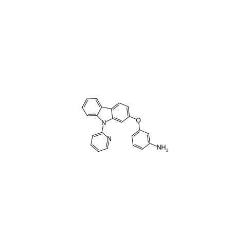 Nc1cccc(Oc2ccc3c4ccccc4n(-c4ccccn4)c3c2)c1